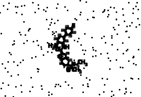 CCN=S(C)(=O)C1C=Cc2oc(C(=O)Nc3cc(-c4ccc(F)cc4)ccc3N)cc2C1